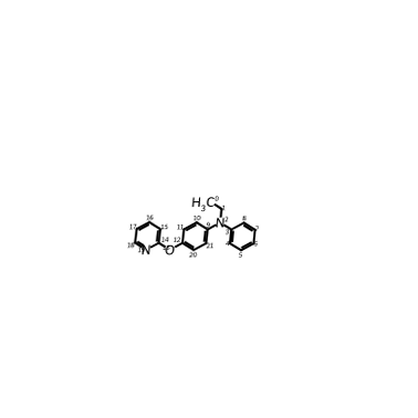 CCN(c1ccccc1)c1ccc(Oc2ccccn2)cc1